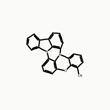 N#Cc1cccc2c1Oc1cccc3c1B2c1cccc2c4ccccc4n-3c12